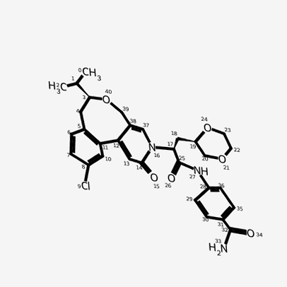 CC(C)[C@@H]1Cc2ccc(Cl)cc2-c2cc(=O)n([C@@H](C[C@@H]3COCCO3)C(=O)Nc3ccc(C(N)=O)cc3)cc2CO1